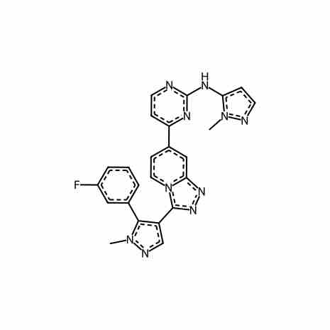 Cn1nccc1Nc1nccc(-c2ccn3c(-c4cnn(C)c4-c4cccc(F)c4)nnc3c2)n1